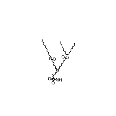 CCCCCCCCCCCOC(=O)CCCCCN(CCCCCCCC(=O)OC(CCCCCCCC)CCCCCCCC)CCCSc1c(NC)c(=O)c1=O